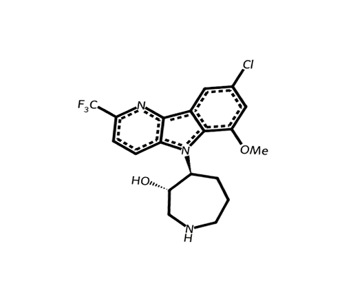 COc1cc(Cl)cc2c3nc(C(F)(F)F)ccc3n([C@H]3CCCNC[C@@H]3O)c12